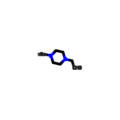 CCCCN1CCN(CC=O)CC1